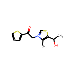 Cc1c(C(C)O)sc[n+]1CC(=O)c1cccs1